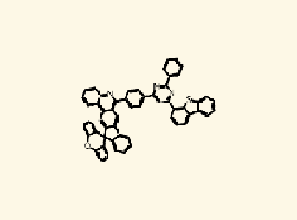 c1ccc(-c2nc(-c3ccc(-c4nc5ccccc5c5cc6c(cc45)-c4ccccc4C64c5ccccc5Oc5ccccc54)cc3)cc(-c3cccc4c3sc3ccccc34)n2)cc1